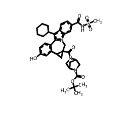 CC(C)(C)OC(=O)N1CC2CC1CN2C(=O)C12CC1c1cc(O)ccc1-c1c(C3CCCCC3)c3ccc(C(=O)NS(C)(=O)=O)cc3n1C2